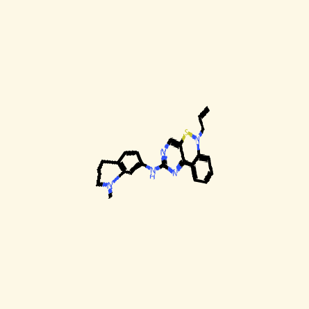 C=CCN1Sc2cnc(Nc3ccc4c(c3)N(C)CCC4)nc2-c2ccccc21